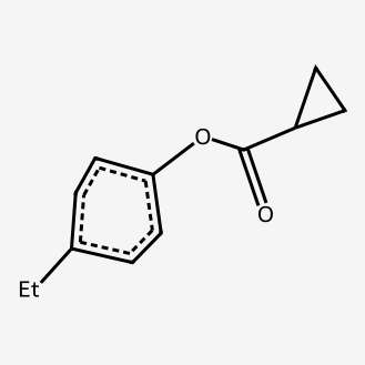 CCc1ccc(OC(=O)C2CC2)cc1